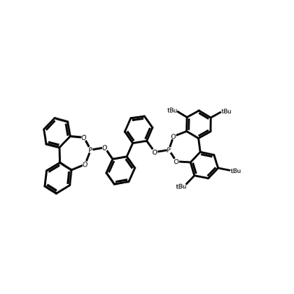 CC(C)(C)c1cc(C(C)(C)C)c2op(Oc3ccccc3-c3ccccc3Op3oc4ccccc4c4ccccc4o3)oc3c(C(C)(C)C)cc(C(C)(C)C)cc3c2c1